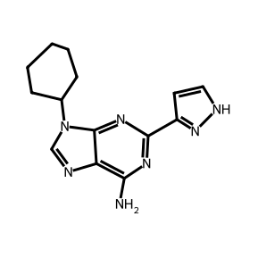 Nc1nc(-c2cc[nH]n2)nc2c1ncn2C1CCCCC1